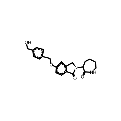 O=C1NCCCCC1N1Cc2cc(OCc3ccc(CO)cc3)ccc2C1=O